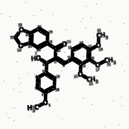 COc1ccc(C(O)/C(=C/c2ccc(OC)c(OC)c2OC)C(=O)c2ccc3c(c2)OCO3)cc1